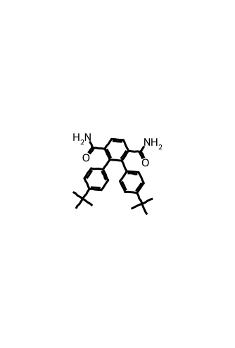 CC(C)(C)c1ccc(-c2c(C(N)=O)ccc(C(N)=O)c2-c2ccc(C(C)(C)C)cc2)cc1